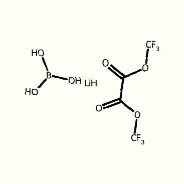 O=C(OC(F)(F)F)C(=O)OC(F)(F)F.OB(O)O.[LiH]